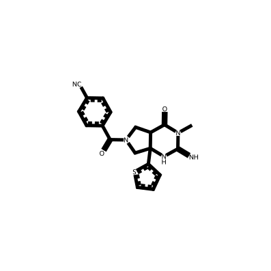 CN1C(=N)NC2(c3cccs3)CN(C(=O)c3ccc(C#N)cc3)CC2C1=O